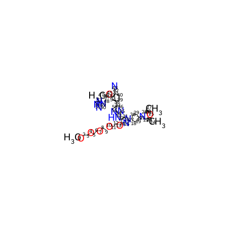 COCCOCCOCCOCCOc1nn([C@H]2CC[C@H](N3C[C@@H](C)O[C@@H](C)C3)CC2)cc1Nc1ncc(-c2ccc(C#N)c(O[C@@H](C)Cn3cnnn3)c2)cn1